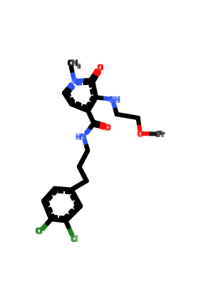 CC(C)OCCNc1c(C(=O)NCCCc2ccc(Cl)c(Cl)c2)ccn(C)c1=O